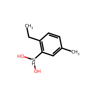 CCc1ccc(C)cc1[SiH](O)O